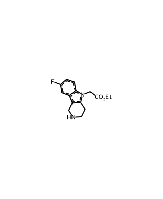 CCOC(=O)Cn1c2c(c3cc(F)ccc31)CNCC2